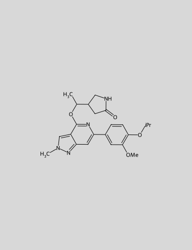 COc1cc(-c2cc3nn(C)cc3c(OC(C)C3CNC(=O)C3)n2)ccc1OC(C)C